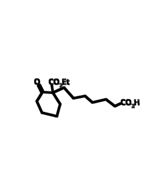 CCOC(=O)C1(CCCCCCC(=O)O)CCCCC1=O